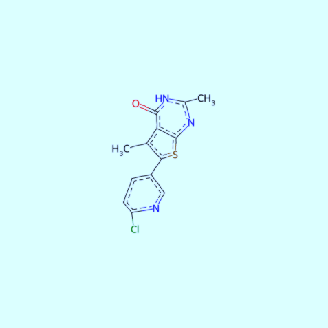 Cc1nc2sc(-c3ccc(Cl)nc3)c(C)c2c(=O)[nH]1